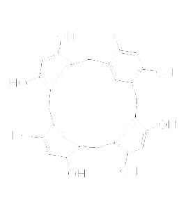 Cc1cc(O)c2cc1Cc1cc(c(O)cc1O)Cc1cc(c(O)cc1O)Cc1cc(c(O)cc1O)C2